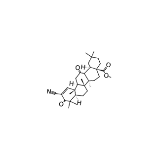 COC(=O)[C@]12CCC(C)(C)C[C@@H]1C1C(=O)C[C@@H]3[C@@]4(C)C=C(C#N)C(=O)C(C)(C)[C@@H]4CC[C@@]3(C)[C@]1(C)CC2